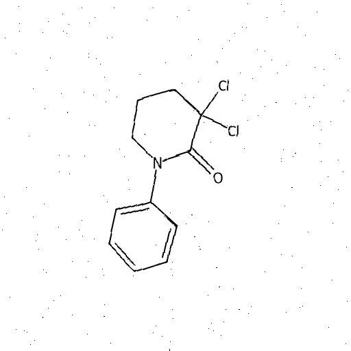 O=C1N(c2ccccc2)CCCC1(Cl)Cl